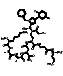 CC(=O)N[C@@H](CCCCN)C(=O)N[C@@H](C)C(=O)N[C@@H](C)C(=O)N[C@@H](CC(=O)N[C@@H](CCN(C(=O)CO)[C@@H](c1cc(-c2cc(F)ccc2F)cn1Cc1ccccc1)C(C)(C)C)C(=O)NCCC(=O)N[C@@H](CCC(=O)O)C(=O)O)C(N)=O